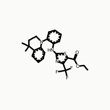 CCOC(=O)c1sc(Nc2ccccc2N2CCC(C)(C)c3ccccc32)nc1C(F)(F)F